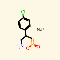 NCC(C[PH](=O)[O-])c1ccc(Cl)cc1.[Na+]